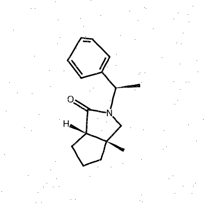 C[C@H](c1ccccc1)N1C[C@]2(C)CCC[C@@H]2C1=O